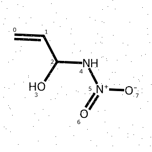 C=CC(O)N[N+](=O)[O-]